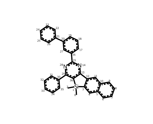 C[Si]1(C)c2cc3ccccc3cc2-c2nc(-c3cccc(-c4ccccc4)c3)nc(-c3ccccc3)c21